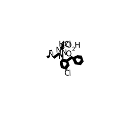 CN(C)Cc1nc(C(=O)O)nn1-c1ccc(Cl)cc1C(=O)c1ccccc1.Cl